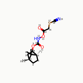 CC1(C)[C@@H]2CC[C@]1(C)C(OC(=O)NOC(=O)CSC#N)C2